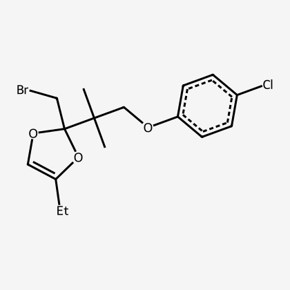 CCC1=COC(CBr)(C(C)(C)COc2ccc(Cl)cc2)O1